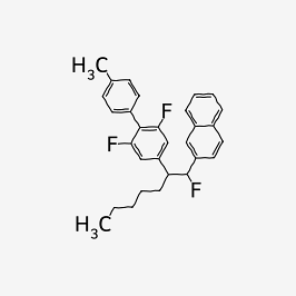 CCCCCC(c1cc(F)c(-c2ccc(C)cc2)c(F)c1)C(F)c1ccc2ccccc2c1